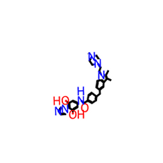 Cc1c(C)n(CCN2CCN(C)CC2)c2ccc(Cc3ccc(C(=O)Nc4cc(O)c(-n5ccnc5)c(O)c4)cc3)cc12